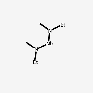 CC[N](C)[Nb][N](C)CC